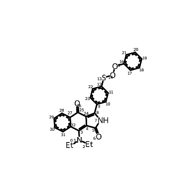 CCN(CC)C1=C2C(=O)NC(c3ccc(SOOc4ccccc4)cc3)=C2C(=O)c2ccccc21